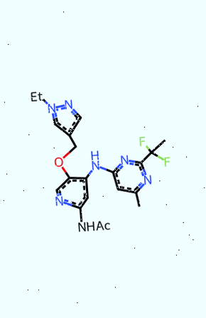 CCn1cc(COc2cnc(NC(C)=O)cc2Nc2cc(C)nc(C(C)(F)F)n2)cn1